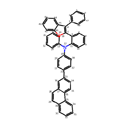 c1ccc(-c2c(-c3ccccc3N(c3ccccc3)c3ccc(-c4ccc5c(ccc6ccccc65)c4)cc3)oc3ccccc23)cc1